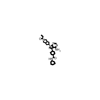 C=CC(=O)N1CC2CC(n3nc(-c4ccc(C(=O)Nc5ccccc5)cc4)c4c(N)ncnc43)CC2C1